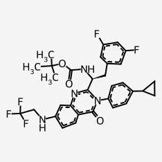 CC(C)(C)OC(=O)N[C@@H](Cc1cc(F)cc(F)c1)c1nc2cc(NCC(F)(F)F)ccc2c(=O)n1-c1ccc(C2CC2)cc1